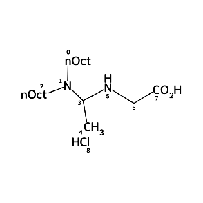 CCCCCCCCN(CCCCCCCC)C(C)NCC(=O)O.Cl